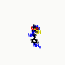 Nc1ccc(-c2cn(/N=C(\S)S(N)(=O)=O)[nH]2)cc1